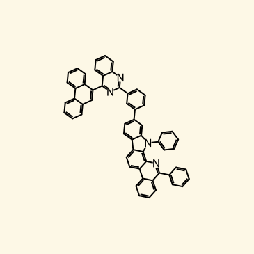 c1ccc(-c2nc3c(ccc4c5ccc(-c6cccc(-c7nc(-c8cc9ccccc9c9ccccc89)c8ccccc8n7)c6)cc5n(-c5ccccc5)c43)c3ccccc23)cc1